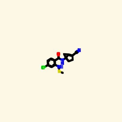 CSNc1cc(Cl)ccc1C(=O)NC12CCC(C#N)=C1C2